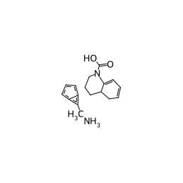 Cc1c2cccc1-2.N.O=C(O)N1CCCC2CC=CC=C21